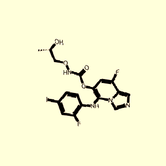 C[C@H](O)CONC(=O)Oc1cc(F)c2cncn2c1Nc1ccc(I)cc1F